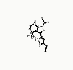 C=Cc1cc(-c2nn(C(C)C)c3ncnc(N)c23)[nH]n1.Cl